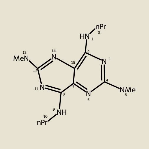 CCCNc1nc(NC)nc2c(NCCC)nc(NC)nc12